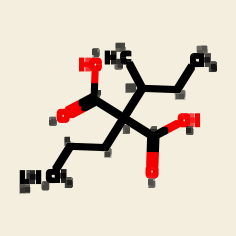 CCCC(C(=O)O)(C(=O)O)C(C)CC.[LiH]